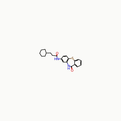 O=C(CCC1CCCCC1)Nc1ccc2c(c1)NC(=O)c1ccccc1S2